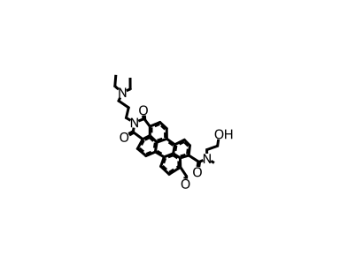 CCN(CC)CCCN1C(=O)c2ccc3c4ccc(C=O)c5c(C(=O)N(C)CCO)ccc(c6ccc(c2c36)C1=O)c54